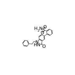 NS(=O)(=O)c1ccccc1-c1ccc2c(c1)c(=O)[nH]n2CCc1ccccc1